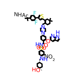 CC(=O)NC(C)(C)c1cc(F)c(-c2csc(C3=C(CN4CCN(c5ccc(C(=O)NS(=O)(=O)c6ccc(NC[C@H]7CC[C@](C)(O)CC7)c([N+](=O)[O-])c6)c(Oc6cnc7[nH]ccc7c6)c5)CC4)CCC(C)(C)C3)c2)c(F)c1